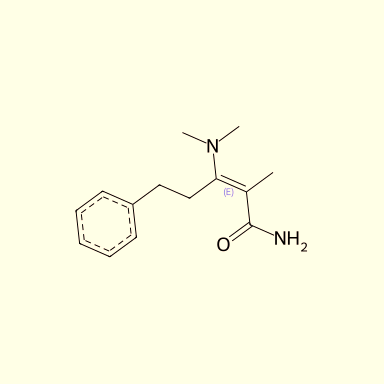 C/C(C(N)=O)=C(/CCc1ccccc1)N(C)C